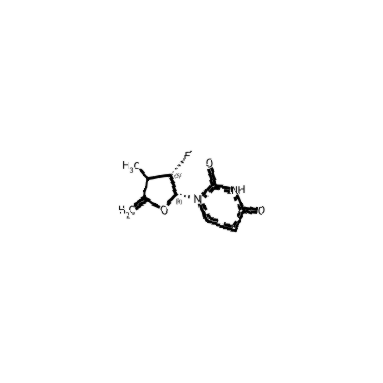 C=C1O[C@@H](n2ccc(=O)[nH]c2=O)[C@@H](F)C1C